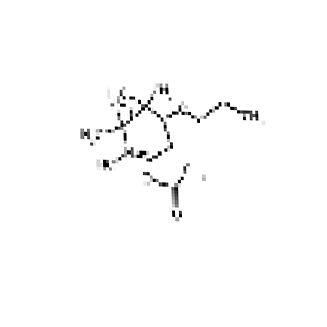 CC(=O)[O-].CCCOC1CC=[N+](O)C(C)(C)C1(C)C